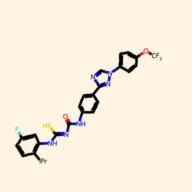 CC(C)c1ccc(F)cc1N/C(S)=N/C(=O)Nc1ccc(-c2ncn(-c3ccc(OC(F)(F)F)cc3)n2)cc1